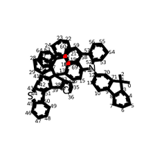 CC1(C)c2ccccc2-c2ccc(N(c3ccc4c(c3)-c3ccccc3-c3ccccc3C43c4ccccc4-c4c3ccc3sc5ccccc5c43)c3ccccc3-c3ccc(-c4ccccc4)cc3)cc21